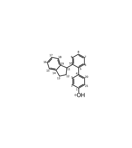 Oc1ccc(-c2ccccc2C2CCc3ccccc32)cc1